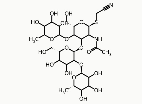 CC(=O)NC1C(O[C@@H]2O[C@@H](CO)C(O)C(O)C2O[C@@H]2O[C@@H](C)C(O)C(O)C2O)C(OC2OC(C)C(O)C(O)C2O)[C@H](CO)O[C@H]1SCC#N